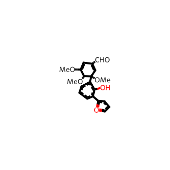 COC1=CC(C=O)=CC(OC)(c2cccc(-c3ccco3)c2O)C1OC